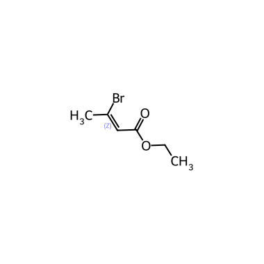 CCOC(=O)/C=C(/C)Br